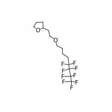 FC(F)(F)C(F)(F)C(F)(F)C(F)(F)CCCCOCCC1CCCO1